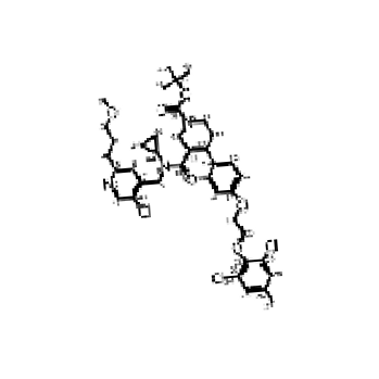 COCCCc1cc(CN(C(=O)C2=C(c3ccc(OCCOc4c(Cl)cc(C)cc4Cl)cc3)CCN(C(=O)OC(C)(C)C)C2)C2CC2)c(Cl)cn1